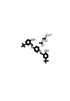 CC(=O)[O-].CC(=O)[O-].CC(C)(C)c1ccc(O)c(C=Nc2ccc(N=Cc3cc(C(C)(C)C)ccc3O)cc2)c1.[Co+2]